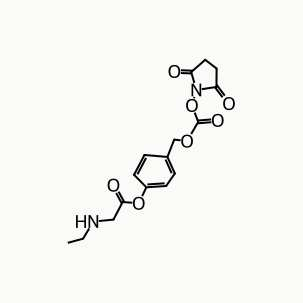 CCNCC(=O)Oc1ccc(COC(=O)ON2C(=O)CCC2=O)cc1